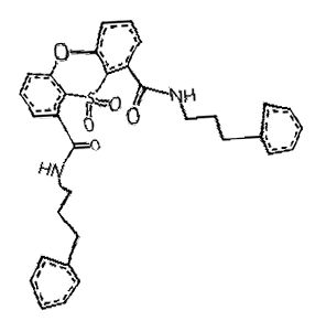 O=C(NCCCc1ccccc1)c1cccc2c1S(=O)(=O)c1c(cccc1C(=O)NCCCc1ccccc1)O2